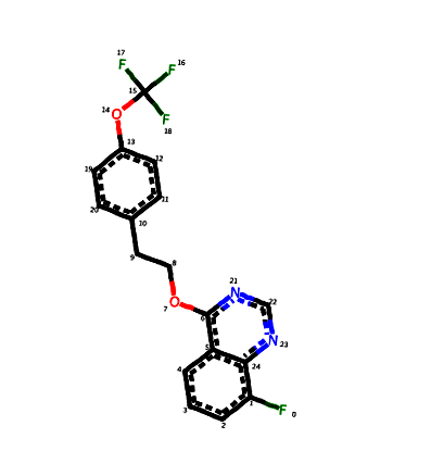 Fc1cccc2c(OCCc3ccc(OC(F)(F)F)cc3)ncnc12